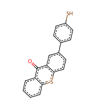 O=c1c2ccccc2sc2ccc(-c3ccc(S)cc3)cc12